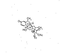 CCOCO[C@]1(C(=O)COC(C)=O)C(C)C[C@H]2[C@@H]3CC(C)C4=CC(=O)C=C[C@]4(C)[C@H]3C(O)C[C@@]21C